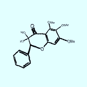 COc1cc2c(c(OC)c1OC)C(=O)C(O)(O)C(c1ccccc1)O2